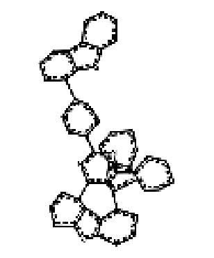 c1ccc(-c2nc(-c3ccc(-c4cccc5c4sc4ccccc45)cc3)nc(-c3cccc4sc5cccc(-c6nc7ccccc7o6)c5c34)n2)cc1